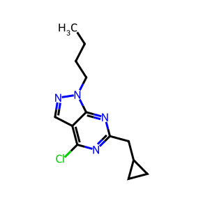 CCCCn1ncc2c(Cl)nc(CC3CC3)nc21